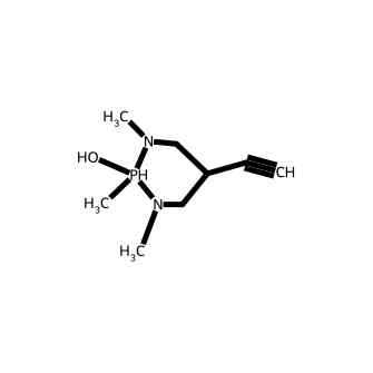 C#CC1CN(C)[PH](C)(O)N(C)C1